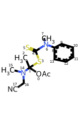 CC(=O)OC(C)(SC(=S)N(C)c1ccccc1)N(C)CC#N